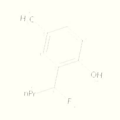 CCCC(F)c1cc(C)ccc1O